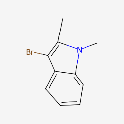 Cc1c(Br)c2ccccc2n1C